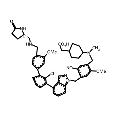 COc1cc(-c2cccc(-c3cccc4c3cnn4Cc3cc(OC)c(CN(C)C4CCC(CC(=O)O)CC4)cc3C#N)c2Cl)ccc1CNC[C@@H]1CCC(=O)N1